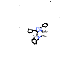 CCCCN(Cc1ccccc1C)Cc1c(-c2ccccc2)nc(-c2ccccc2)n1CCCC